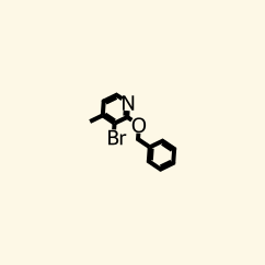 Cc1ccnc(OCc2ccccc2)c1Br